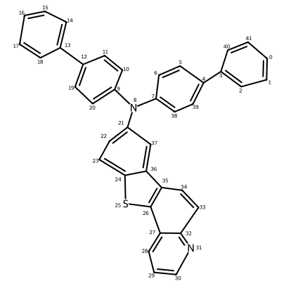 c1ccc(-c2ccc(N(c3ccc(-c4ccccc4)cc3)c3ccc4sc5c6cccnc6ccc5c4c3)cc2)cc1